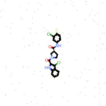 O=C(Nc1ccc(F)c(Cl)c1)[C@H]1CCN(C(=O)c2[nH]c3ccccc3c2Cl)C1